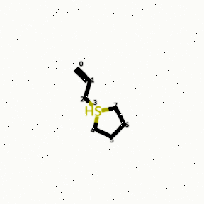 C=CC[SH]1CCCC1